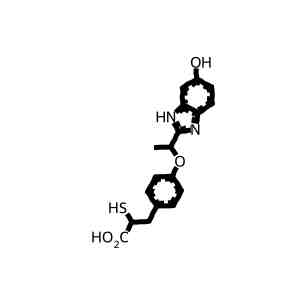 CC(Oc1ccc(CC(S)C(=O)O)cc1)c1nc2ccc(O)cc2[nH]1